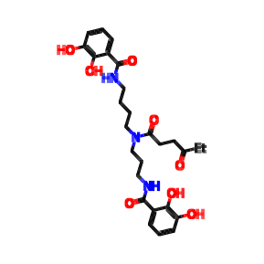 CCC(=O)CCC(=O)N(CCCCNC(=O)c1cccc(O)c1O)CCCNC(=O)c1cccc(O)c1O